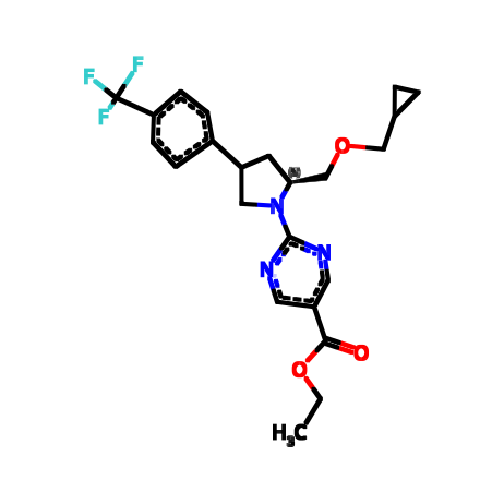 CCOC(=O)c1cnc(N2CC(c3ccc(C(F)(F)F)cc3)C[C@H]2COCC2CC2)nc1